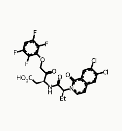 CC[C@@H](C(=O)N[C@@H](CC(=O)O)C(=O)COc1c(F)c(F)cc(F)c1F)n1ccc2cc(Cl)c(Cl)cc2c1=O